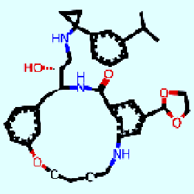 CC(C)c1cccc(C2(NC[C@@H](O)[C@@H]3Cc4cccc(c4)OCCCCNc4cc(cc(C5OCCO5)c4)C(=O)N3)CC2)c1